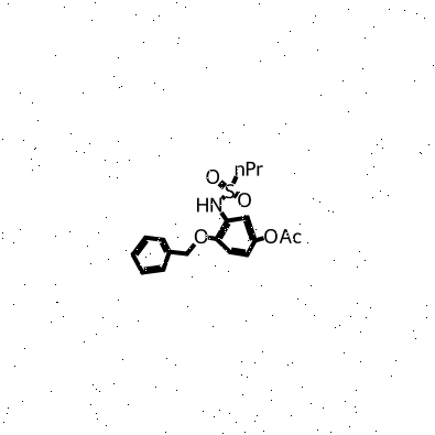 CCCS(=O)(=O)Nc1cc(OC(C)=O)ccc1OCc1ccccc1